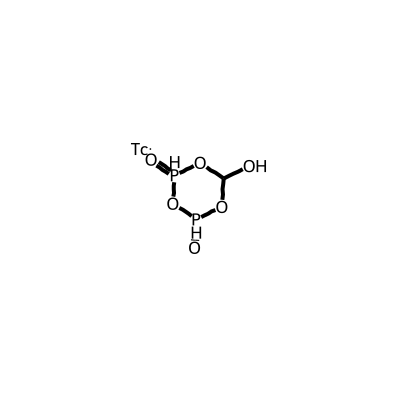 O=[PH]1OC(O)O[PH](=O)O1.[Tc]